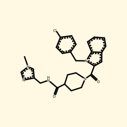 Cn1cnc(CNC(=O)C2CCN(C(=O)c3cc4ccccc4n3Cc3ccc(Cl)cc3)CC2)c1